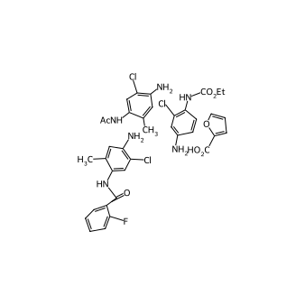 CC(=O)Nc1cc(Cl)c(N)cc1C.CCOC(=O)Nc1ccc(N)cc1Cl.Cc1cc(N)c(Cl)cc1NC(=O)c1ccccc1F.O=C(O)c1ccco1